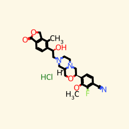 COc1c([C@@H]2CN3CCN(C[C@H](O)c4ccc5c(c4C)COC5=O)C[C@@H]3CO2)ccc(C#N)c1F.Cl